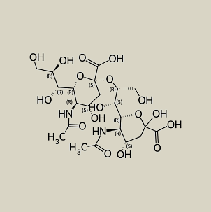 CC(=O)N[C@H]1[C@H]([C@H](O)[C@H](O)CO)O[C@@](O[C@H](CO)[C@@H](O)[C@@H]2OC(O)(C(=O)O)C[C@H](O)[C@H]2NC(C)=O)(C(=O)O)C[C@@H]1O